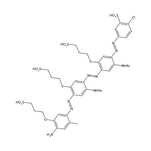 CC(=O)Nc1cc(N=Nc2cc(SCCCS(=O)(=O)O)c(N=Nc3cc(OCCCS(=O)(=O)O)c(N)cc3C)cc2NC(C)=O)c(SCCCS(=O)(=O)O)cc1N=Nc1ccc(Cl)c(S(=O)(=O)O)c1